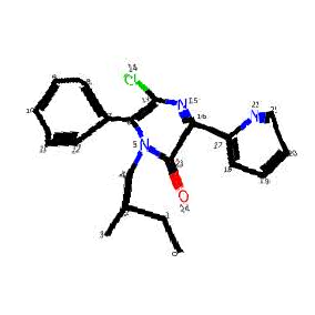 CCC(C)Cn1c(-c2ccccc2)c(Cl)nc(-c2ccccn2)c1=O